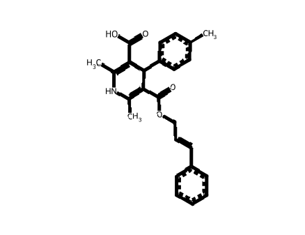 CC1=C(C(=O)O)C(c2ccc(C)cc2)C(C(=O)OCC=Cc2ccccc2)=C(C)N1